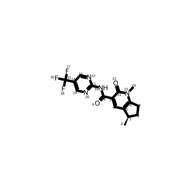 C[C@@H]1CCc2c1cc(C(=O)Nc1ncc(C(F)(F)F)cn1)c(=O)n2C